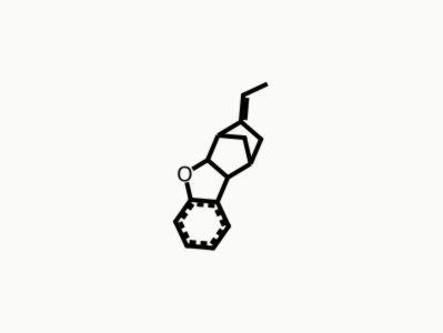 C/C=C1\CC2CC1C1Oc3ccccc3C21